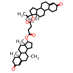 C=C(C)[C@]1(OC(=O)CCC(=O)O[C@H]2CCC3C4C(CC[C@@]32C)[C@@]2(C)CCC(=O)C=C2C[C@H]4C)CCC2C3CCC4=CC(=O)CCC4C3CC[C@@]21CC